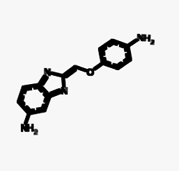 Nc1ccc(OC=C2N=c3ccc(N)cc3=N2)cc1